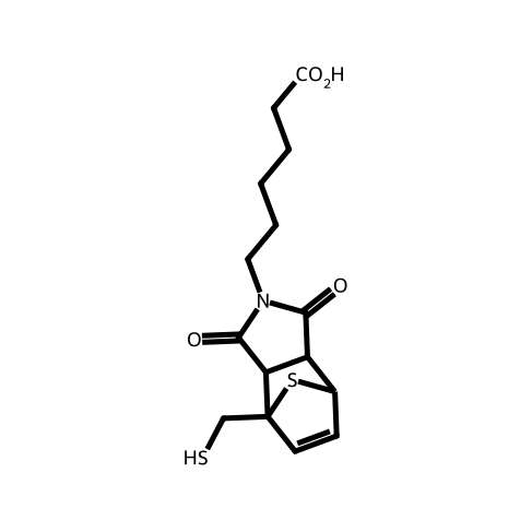 O=C(O)CCCCCN1C(=O)C2C3C=CC(CS)(S3)C2C1=O